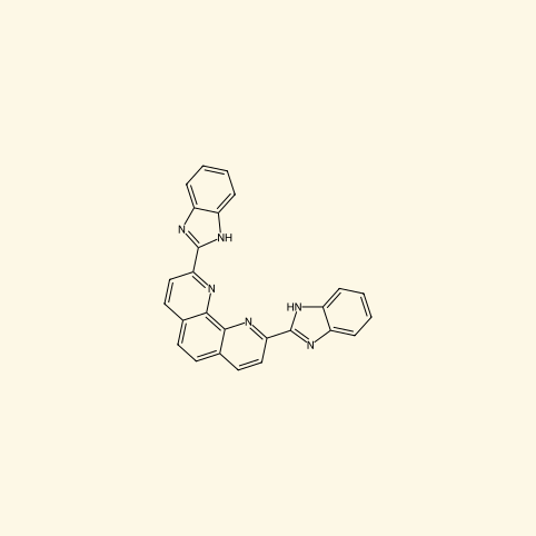 c1ccc2[nH]c(-c3ccc4ccc5ccc(-c6nc7ccccc7[nH]6)nc5c4n3)nc2c1